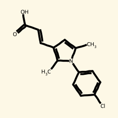 Cc1cc(/C=C/C(=O)O)c(C)n1-c1ccc(Cl)cc1